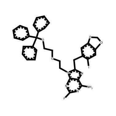 Nc1nc(F)nc2c1nc(Cc1cc3c(cc1I)OCO3)n2CCOCCOC(c1ccccc1)(c1ccccc1)c1ccccc1